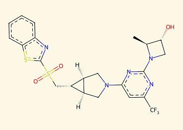 C[C@H]1[C@H](O)CN1c1nc(N2C[C@@H]3[C@H](C2)[C@H]3CS(=O)(=O)c2nc3ccccc3s2)cc(C(F)(F)F)n1